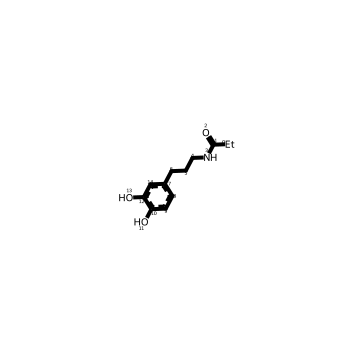 CCC(=O)NCCCc1ccc(O)c(O)c1